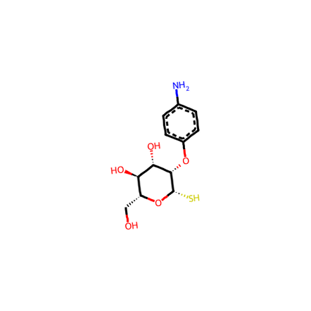 Nc1ccc(O[C@H]2[C@@H](O)[C@H](O)[C@@H](CO)O[C@H]2S)cc1